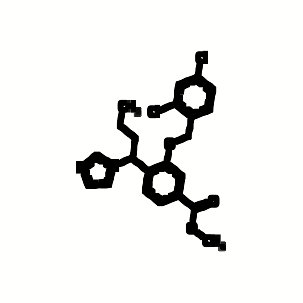 CCCC(c1ccc(C(=O)OC)cc1OCc1ccc(Cl)cc1Cl)n1ccnc1